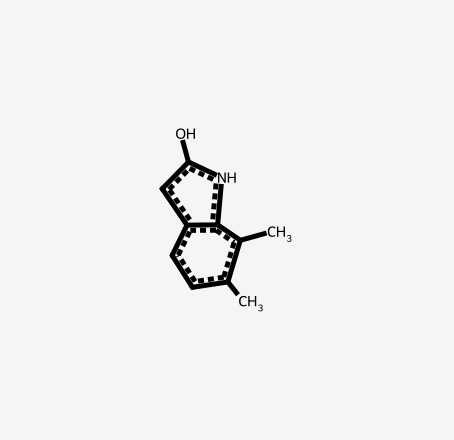 Cc1ccc2cc(O)[nH]c2c1C